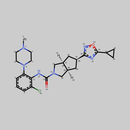 CC(C)N1CCN(c2cccc(Cl)c2NC(=O)N2C[C@H]3C[C@@H](c4noc(C5CC5)n4)C[C@H]3C2)CC1